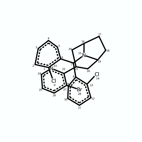 Clc1ccccc1C(c1ccccc1Cl)N1C2CCC1CC(c1ncccc1Br)C2